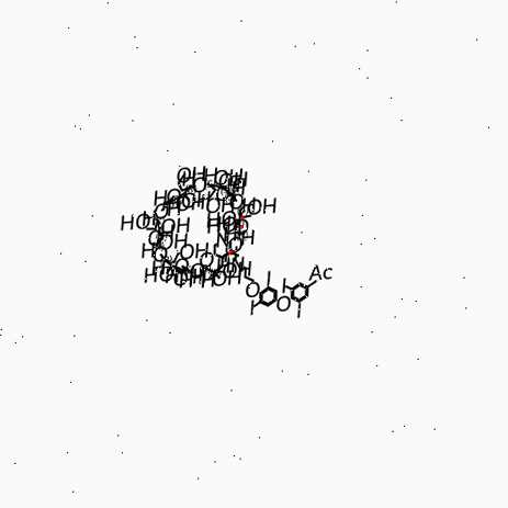 CC(=O)Cc1cc(I)c(Oc2cc(I)c(OCCCNCCCNCC3O[C@@H]4O[C@@H]5OC(CO)[C@H](O[C@H]6OC(CO)[C@H](O[C@H]7OC(CO)[C@H](O[C@@H]8C(CO)O[C@@H](O[C@@H]9C(CO)O[C@H](O[C@H]3C(O)[C@@H]4O)[C@@H](O)C9O)[C@@H](O)C8O)C(O)[C@H]7O)C(O)[C@H]6O)C(O)[C@H]5O)c(I)c2)c(I)c1